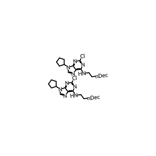 CCCCCCCCCCCCNc1nc(Cl)nc2c1ncn2C1CCCC1.CCCCCCCCCCCCNc1nc(Cl)nc2c1ncn2C1CCCC1